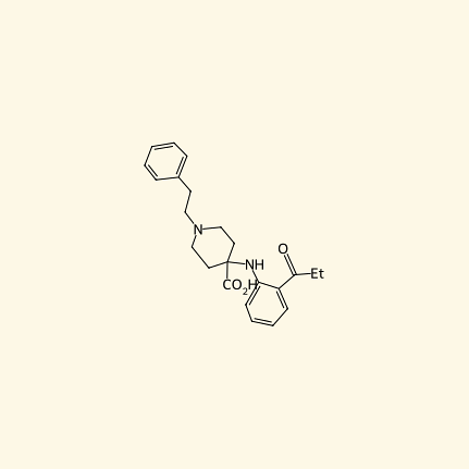 CCC(=O)c1ccccc1NC1(C(=O)O)CCN(CCc2ccccc2)CC1